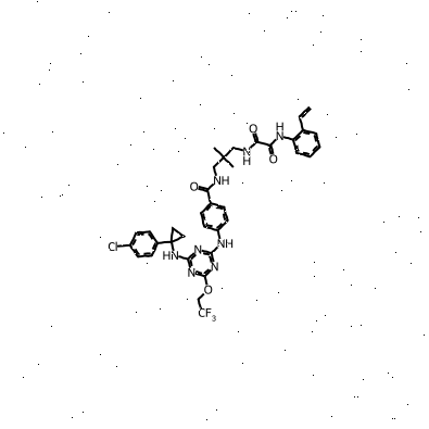 C=Cc1ccccc1NC(=O)C(=O)NCC(C)(C)CNC(=O)c1ccc(Nc2nc(NC3(c4ccc(Cl)cc4)CC3)nc(OCC(F)(F)F)n2)cc1